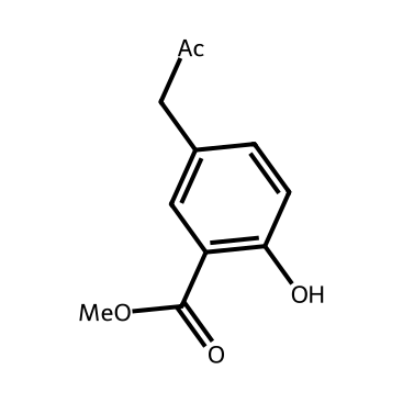 COC(=O)c1cc(CC(C)=O)ccc1O